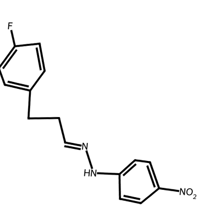 O=[N+]([O-])c1ccc(NN=CCCc2ccc(F)cc2)cc1